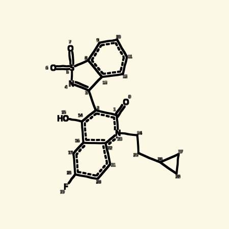 O=c1c(C2=NS(=O)(=O)c3ccccc32)c(O)c2cc(F)ccc2n1CCC1CC1